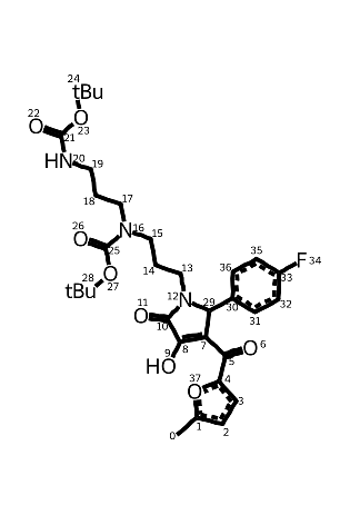 Cc1ccc(C(=O)C2=C(O)C(=O)N(CCCN(CCCNC(=O)OC(C)(C)C)C(=O)OC(C)(C)C)C2c2ccc(F)cc2)o1